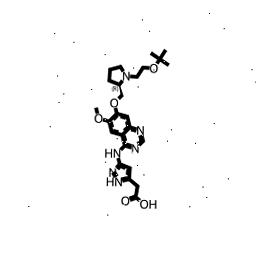 COc1cc2c(Nc3cc(CC(=O)O)[nH]n3)ncnc2cc1OC[C@H]1CCCN1CCOC(C)(C)C